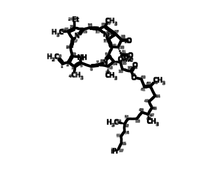 C=Cc1c(C)c2cc3nc(c4c5[nH]c(cc6nc(cc1[nH]2)C(C)=C6CC)c(C)c5C(=O)[C@@H]4C(=O)OC)[C@@H](CCC(=O)OC/C=C(\C)CCC[C@H](C)CCC[C@H](C)CCCC(C)C)[C@@H]3C